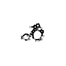 CO[C@]1(CN2CCCS(=O)(=O)CCNCC2)/C=C/C[C@H](C)[C@@H](C)S(=O)(=O)NC(=O)c2ccc3c(c2)N(C[C@@H]2CC[C@H]21)C[C@@]1(CCCc2cc(Cl)ccc21)CO3